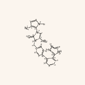 CCCCc1cn(-c2c(C#N)ccn2C)c(=O)n1Cc1ccc(-c2ccccc2-c2nnn[nH]2)cn1